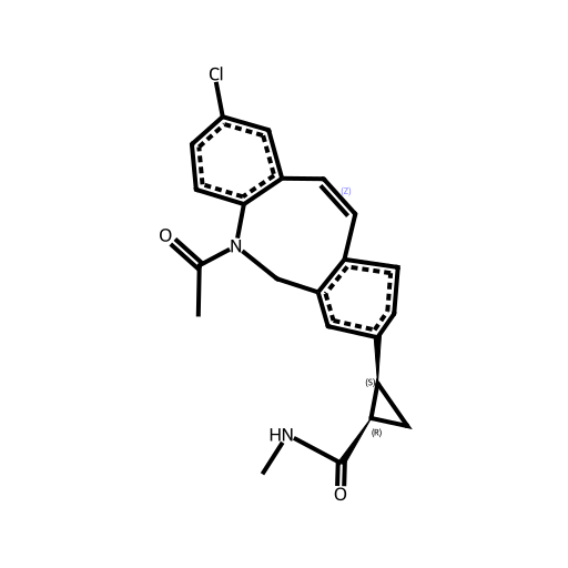 CNC(=O)[C@@H]1C[C@@H]1c1ccc2c(c1)CN(C(C)=O)c1ccc(Cl)cc1/C=C\2